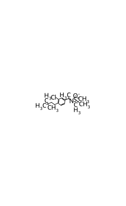 C/C(=N\[S@@+]([O-])C(C)(C)C)c1ccc(CCC(C)(C)C)c(Cl)c1